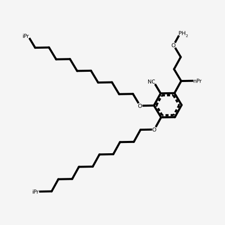 CCCC(CCOP)c1ccc(OCCCCCCCCCCC(C)C)c(OCCCCCCCCCCC(C)C)c1C#N